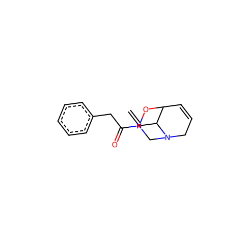 C=CC1C2C=CCN1CN(C(=O)Cc1ccccc1)O2